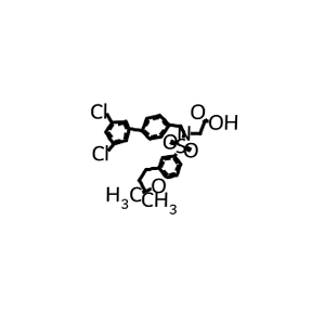 CC1(C)CCc2cc(S(=O)(=O)N(CC(=O)O)Cc3ccc(-c4cc(Cl)cc(Cl)c4)cc3)ccc2O1